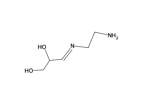 NCCN=CC(O)CO